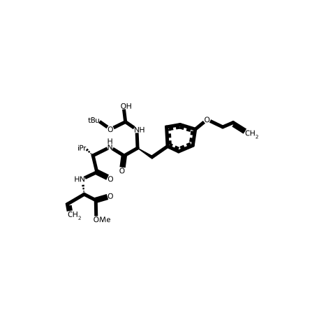 C=CCOc1ccc(C[C@H](NC(O)OC(C)(C)C)C(=O)N[C@H](C(=O)N[C@@H](C=C)C(=O)OC)C(C)C)cc1